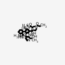 C=CC(=O)N1CCN2C(=N)c3c(Nc4c(C)ccnc4C(C)O)c(Cl)c(-c4c(C)ccc(N)c4C=N)c(F)c3N(C)C(=O)C2C1